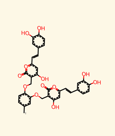 [CH]c1ccc(OCc2c(O)cc(C=Cc3ccc(O)c(O)c3)oc2=O)c(OCc2c(O)cc(C=Cc3ccc(O)c(O)c3)oc2=O)c1